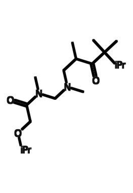 CC(C)OCC(=O)N(C)CN(C)CC(C)C(=O)C(C)(C)C(C)C